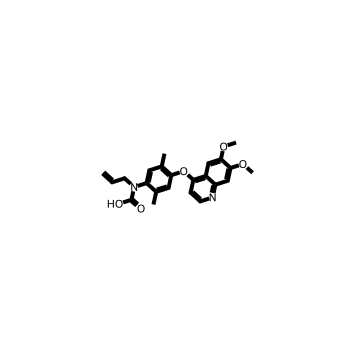 C=CCN(C(=O)O)c1cc(C)c(Oc2ccnc3cc(OC)c(OC)cc23)cc1C